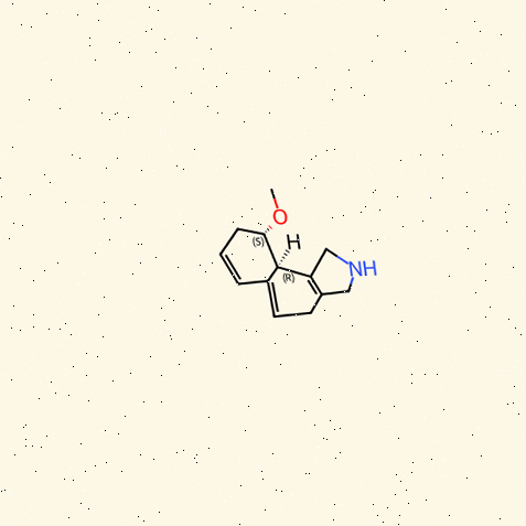 CO[C@H]1CC=CC2=CCC3=C(CNC3)[C@@H]21